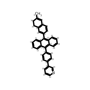 CC1=Cc2ccc(-c3c4ccccc4c(-c4ccc(-c5cccnc5)cc4)c4ccccc34)cc2CC1